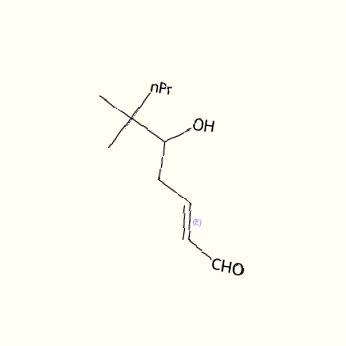 CCCC(C)(C)C(O)C/C=C/C=O